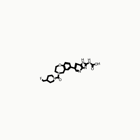 O=C(O)Nc1nc2ncc(-c3ccc4c(c3)CN(C(=O)N3CCC(CF)CC3)CCO4)cc2[nH]1